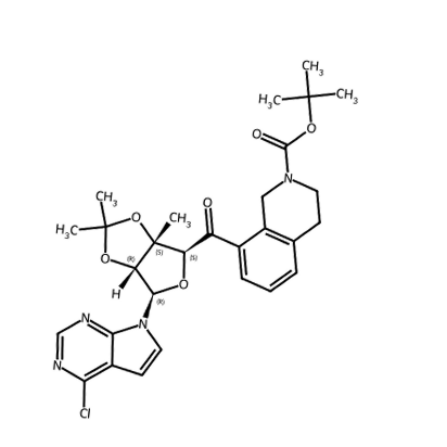 CC(C)(C)OC(=O)N1CCc2cccc(C(=O)[C@H]3O[C@@H](n4ccc5c(Cl)ncnc54)[C@@H]4OC(C)(C)O[C@]34C)c2C1